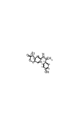 CCN1C(=O)OCc2cnc(NC(C)c3ccc(O)cc3)nc21